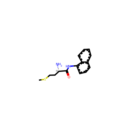 CSCC[C@H](N)C(=O)Nc1cccc2ccccc12